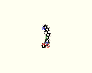 Cc1c(-c2ccc(CC3(F)CCN(C(=O)[C@H]4CCCO4)CC3)cc2)ccc2cccnc12